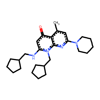 Cc1cc(N2CCCCC2)nc2c1c(=O)cc(NCC1CCCC1)n2CC1CCCC1